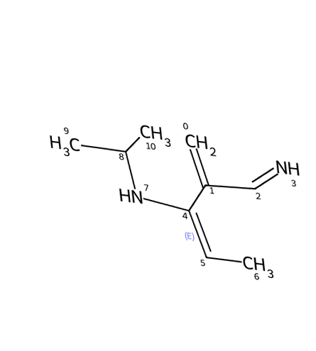 C=C(C=N)/C(=C\C)NC(C)C